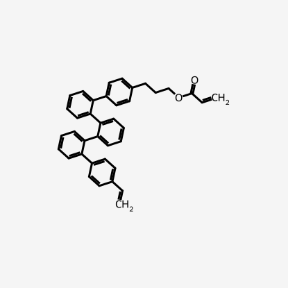 C=CC(=O)OCCCc1ccc(-c2ccccc2-c2ccccc2-c2ccccc2-c2ccc(C=C)cc2)cc1